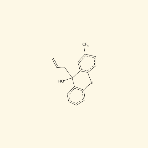 C=CCC1(O)c2ccccc2Sc2ccc(C(F)(F)F)cc21